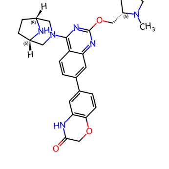 CN1CCC[C@H]1COc1nc(N2C[C@H]3CC[C@@H](C2)N3)c2ccc(-c3ccc4c(c3)NC(=O)CO4)cc2n1